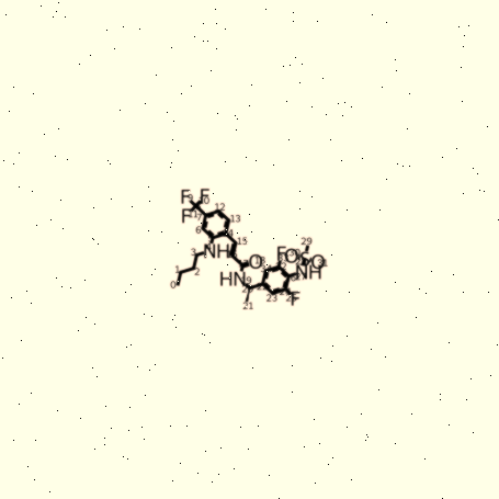 CCCCNc1cc(C(F)(F)F)ccc1/C=C/C(=O)N[C@H](C)c1cc(F)c(NS(C)(=O)=O)c(F)c1